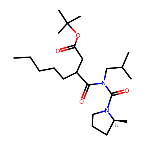 CCCCCC(CC(=O)OC(C)(C)C)C(=O)N(CC(C)C)C(=O)N1CCC[C@@H]1C